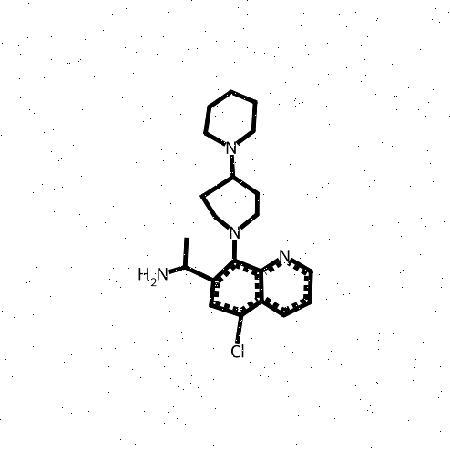 CC(N)c1cc(Cl)c2cccnc2c1N1CCC(N2CCCCC2)CC1